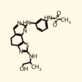 CC(CO)Nc1nc2c(s1)-c1nc(Nc3cccc(NS(C)(=O)=O)c3)ncc1CC2